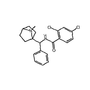 CN1C2CCC1(C(NC(=O)c1ccc(Cl)cc1Cl)c1ccccc1)CC2